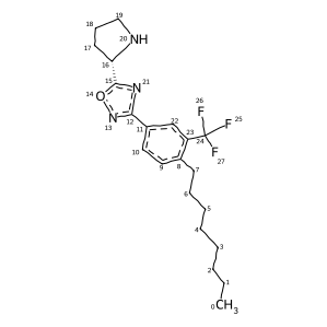 CCCCCCCCc1ccc(-c2noc([C@@H]3CCCN3)n2)cc1C(F)(F)F